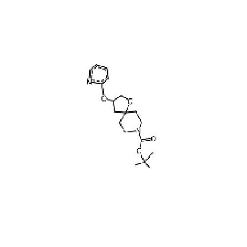 CC(C)(C)OC(=O)N1CCC2(CC1)CC(Oc1ccccn1)CO2